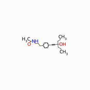 CCCC(O)(C#Cc1ccc(CCCNC(C)=O)cc1)CCC